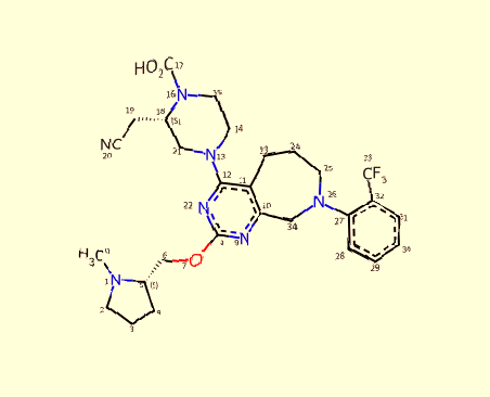 CN1CCC[C@H]1COc1nc2c(c(N3CCN(C(=O)O)[C@@H](CC#N)C3)n1)CCCN(c1ccccc1C(F)(F)F)C2